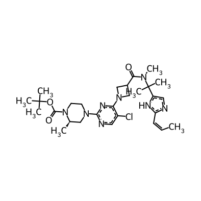 C/C=C\c1ncc(C(C)(C)N(C)C(=O)C2CN(c3nc(N4CCN(C(=O)OC(C)(C)C)[C@H](C)C4)ncc3Cl)C2)[nH]1